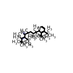 C/N=C(\C(=C(/N)C(C)(C)C)C(C)(C)C)C(C)(C)CCC(C)(C)c1nccc(C(C)(C)C)c1C(C)(C)C